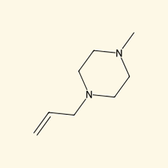 C=CCN1CCN(C)CC1